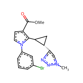 COC(=O)c1ccn(-c2cccc(Br)c2)c1C1C[C@@H]1c1cn(C)nn1